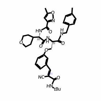 Cc1ccc(CNC(=O)[C@H](COc2cccc(/C=C(\C#N)C(=O)NC(C)(C)C)c2)NC(=O)[C@@H](NC(=O)c2cc(C)on2)C2CCOCC2)cc1